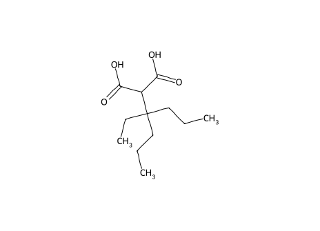 CCCC(CC)(CCC)C(C(=O)O)C(=O)O